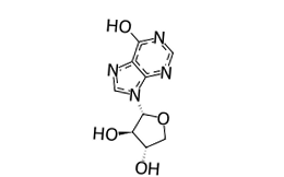 Oc1ncnc2c1ncn2[C@@H]1OC[C@H](O)[C@H]1O